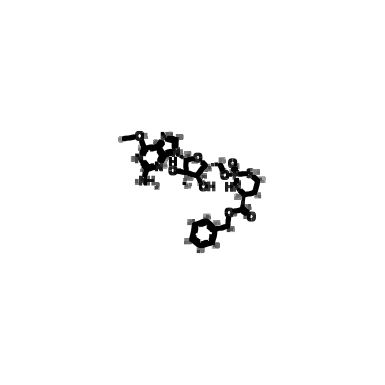 COc1nc(N)nc2c1ncn2[C@@H]1O[C@H](CO[P@@]2(=O)N[C@H](C(=O)OCc3ccccc3)CCS2)[C@@H](O)[C@@]1(C)O